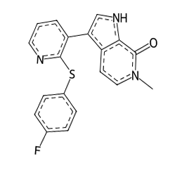 Cn1ccc2c(-c3cccnc3Sc3ccc(F)cc3)c[nH]c2c1=O